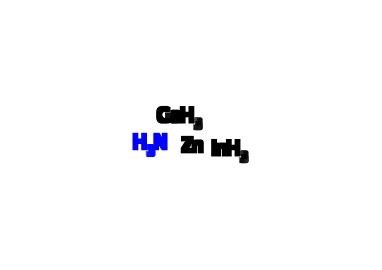 N.[GaH3].[InH3].[Zn]